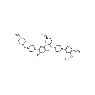 COc1cc(N2CCN(CC3CCN(C)CC3c3cc(N4CCN(CC5CCN(C)CC5)CC4)c(F)cc3I)CC2)ccc1C